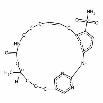 C[C@@H]1CCCc2cnc(nc2)Nc2ccc(S(N)(=O)=O)c(c2)CC=CCCCNC(=O)O1